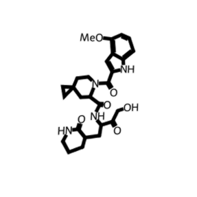 COc1cccc2[nH]c(C(=O)N3CCC4(CC4)CC3C(=O)NC(CC3CCCNC3=O)C(=O)CO)cc12